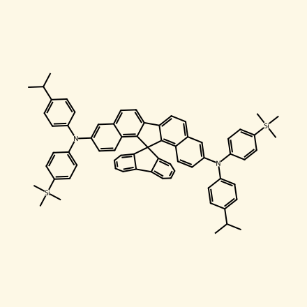 CC(C)c1ccc(N(c2ccc([Si](C)(C)C)cc2)c2ccc3c4c(ccc3c2)-c2ccc3cc(N(c5ccc(C(C)C)cc5)c5ccc([Si](C)(C)C)cc5)ccc3c2C42c3ccccc3-c3ccccc32)cc1